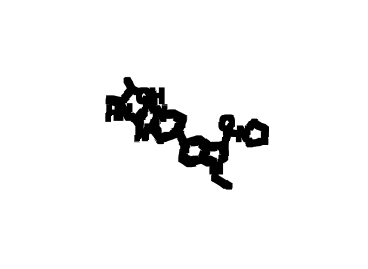 C=C(Nc1nc2cc(-c3ccc4c(c3)c(C(=O)N3CCCC3)cn4CC)ccn2n1)C(C)O